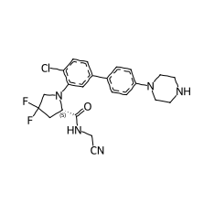 N#CCNC(=O)[C@@H]1CC(F)(F)CN1c1cc(-c2ccc(N3CCNCC3)cc2)ccc1Cl